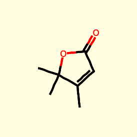 CC1=CC(=O)OC1(C)C